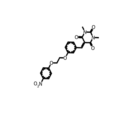 CN1C(=O)C(=Cc2cccc(OCCOc3ccc([N+](=O)[O-])cc3)c2)C(=O)N(C)C1=O